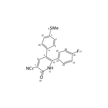 CSc1ccc(-c2cc(C#N)c(=O)[nH]c2-c2ccc(F)cc2)cc1